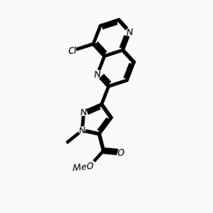 COC(=O)c1cc(-c2ccc3nccc(Cl)c3n2)nn1C